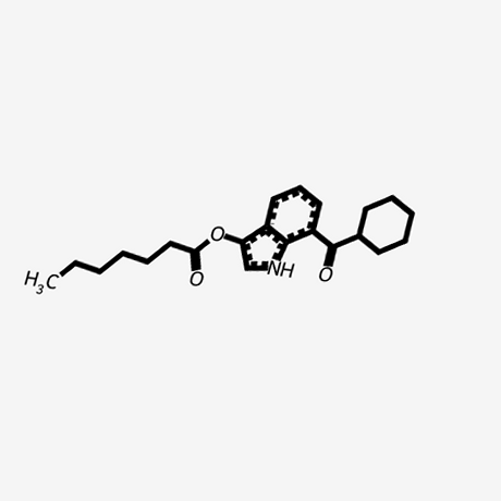 CCCCCCC(=O)Oc1c[nH]c2c(C(=O)C3CCCCC3)cccc12